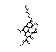 CCOC(=O)c1cc2c(n(C3CC3)c1=O)-c1cc(OC)c(OCCCOC)cc1OC2CC